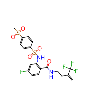 C=C(CCNC(=O)c1ccc(F)cc1NS(=O)(=O)c1ccc(S(C)(=O)=O)cc1)C(F)(F)F